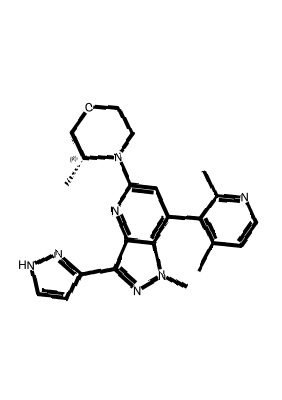 Cc1ccnc(C)c1-c1cc(N2CCOC[C@H]2C)nc2c(-c3cc[nH]n3)nn(C)c12